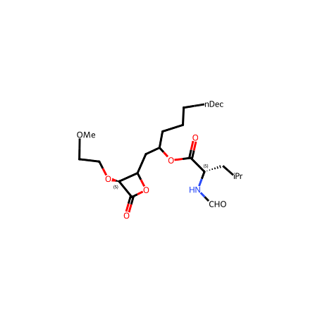 CCCCCCCCCCCCCC(CC1OC(=O)[C@H]1OCCOC)OC(=O)[C@H](CC(C)C)NC=O